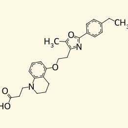 CCc1ccc(-c2nc(CCOc3cccc4c3CCCN4CCC(=O)O)c(C)o2)cc1